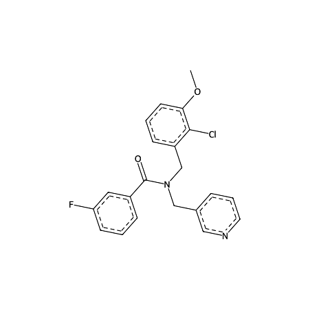 COc1cccc(CN(Cc2cccnc2)C(=O)c2cccc(F)c2)c1Cl